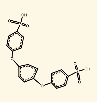 O=S(=O)(O)c1ccc(Oc2ccc(Oc3ccc(S(=O)(=O)O)cc3)cc2)cc1